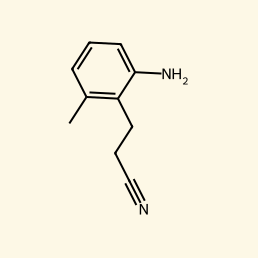 Cc1cccc(N)c1CCC#N